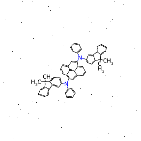 CC1(C)c2ccccc2-c2cc(N(c3ccccc3)c3cc4cccc5c(N(c6ccccc6)c6ccc7c(c6)-c6ccccc6C7(C)C)cc6cccc3c6c45)ccc21